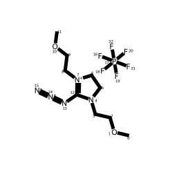 COCCN1CC[N+](CCOC)=C1N=[N+]=[N-].F[P-](F)(F)(F)(F)F